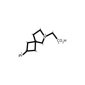 CC(C)C1CC2(CCN(CC(=O)O)C2)C1